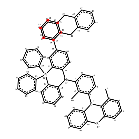 Cc1cccc2c1B(c1cccc(N3c4ccccc4[Si](c4ccccc4)(c4ccccc4)c4cc(-c5cccc6c5C5c7ccccc7C6c6ccccc65)ccc43)c1C)c1ccccc1S2